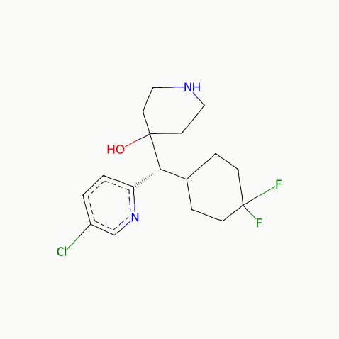 OC1([C@@H](c2ccc(Cl)cn2)C2CCC(F)(F)CC2)CCNCC1